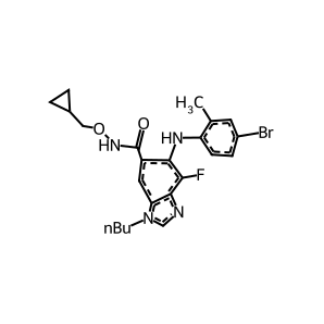 CCCCn1cnc2c(F)c(Nc3ccc(Br)cc3C)c(C(=O)NOCC3CC3)cc21